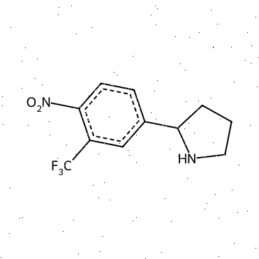 O=[N+]([O-])c1ccc(C2CCCN2)cc1C(F)(F)F